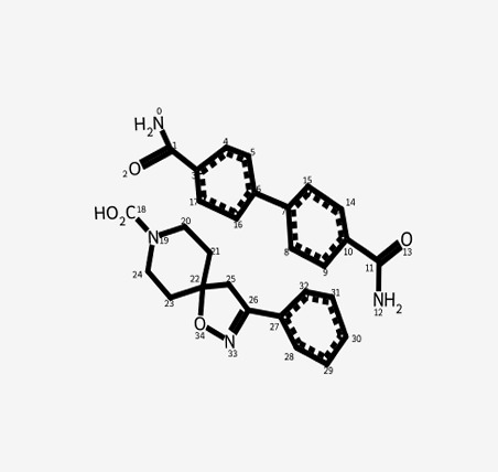 NC(=O)c1ccc(-c2ccc(C(N)=O)cc2)cc1.O=C(O)N1CCC2(CC1)CC(c1ccccc1)=NO2